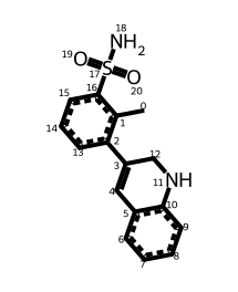 Cc1c(C2=Cc3ccccc3NC2)cccc1S(N)(=O)=O